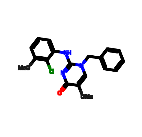 COc1cccc(Nc2nc(=O)c(OC)cn2Cc2ccccc2)c1Cl